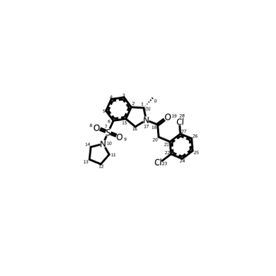 C[C@H]1c2cccc(S(=O)(=O)N3CCCC3)c2CN1C(=O)Cc1c(Cl)cccc1Cl